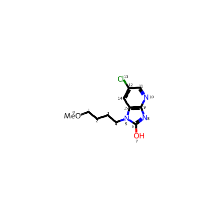 COCCCCn1c(O)nc2ncc(Cl)cc21